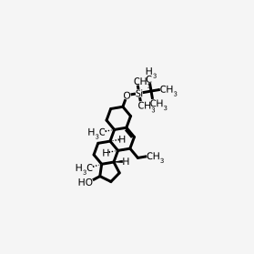 CCC1C=C2CC(O[Si](C)(C)C(C)(C)C)CC[C@]2(C)[C@@H]2CC[C@]3(C)C(O)CC[C@H]3[C@H]12